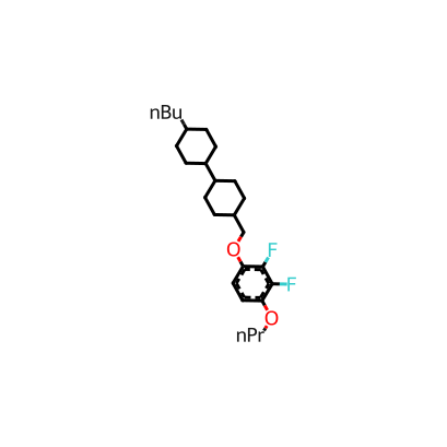 CCCCC1CCC(C2CCC(COc3ccc(OCCC)c(F)c3F)CC2)CC1